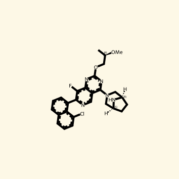 CO[C@H](C)COc1nc(N2C[C@H]3CC[C@@H](C2)N3)c2cnc(-c3cccc4cccc(Cl)c34)c(F)c2n1